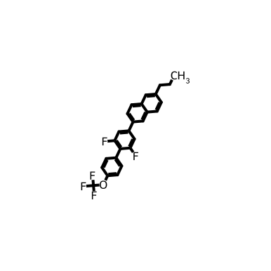 CCCc1ccc2cc(-c3cc(F)c(-c4ccc(OC(F)(F)F)cc4)c(F)c3)ccc2c1